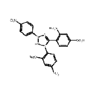 COc1cc([N+](=O)[O-])ccc1N1NN(c2ccc([N+](=O)[O-])cc2)N=C1c1ccc(S(=O)(=O)O)cc1S(=O)(=O)O